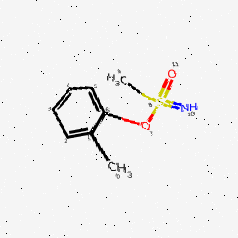 Cc1ccccc1OS(C)(=N)=O